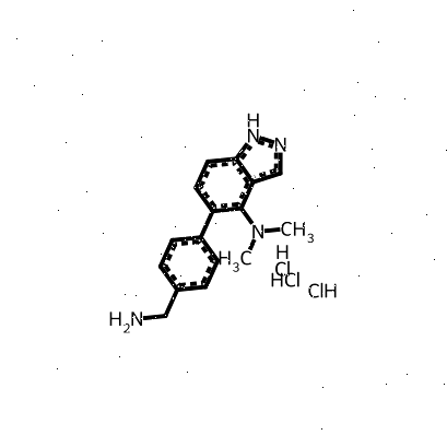 CN(C)c1c(-c2ccc(CN)cc2)ccc2[nH]ncc12.Cl.Cl.Cl